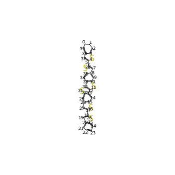 c1ccc2sc(-c3cc4cc5sc6c7cc8sc(-c9cc%10ccccc%10s9)cc8cc7sc6c5cc4s3)cc2c1